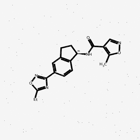 CCc1nc(-c2ccc3c(c2)CC[C@H]3NC(=O)c2cnoc2C)no1